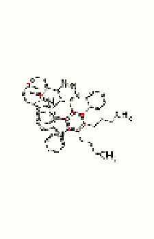 CCCCc1c(CCCC)c(-c2ccccc2)c(-c2nnnc(-c3ccccc3)c2-c2ccccc2-c2ccccc2-c2ccccc2)c2c1N=c1ccc3c(c1-2)N=c1ccccc1=3